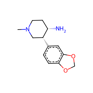 CN1CC[C@H](N)[C@H](c2ccc3c(c2)OCO3)C1